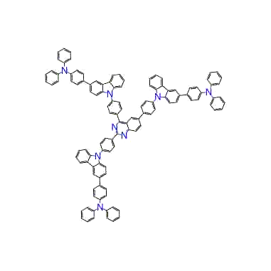 c1ccc(N(c2ccccc2)c2ccc(-c3ccc4c(c3)c3ccccc3n4-c3ccc(-c4ccc5nc(-c6ccc(-n7c8ccccc8c8cc(-c9ccc(N(c%10ccccc%10)c%10ccccc%10)cc9)ccc87)cc6)nc(-c6ccc(-n7c8ccccc8c8cc(-c9ccc(N(c%10ccccc%10)c%10ccccc%10)cc9)ccc87)cc6)c5c4)cc3)cc2)cc1